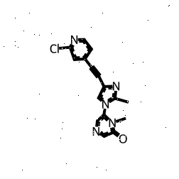 Cc1nc(C#Cc2ccnc(Cl)c2)cn1-c1cncc(=O)n1C